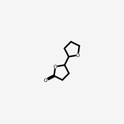 O=C1CCC(C2CCCO2)O1